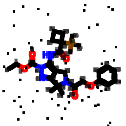 CCOC(=O)n1nc2c(c1NC(=O)C1(S(C)(C)C)CCC1)CN(C(=O)COc1ccccc1)C2(C)C